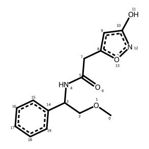 COCC(NC(=O)Cc1cc(O)no1)c1ccccc1